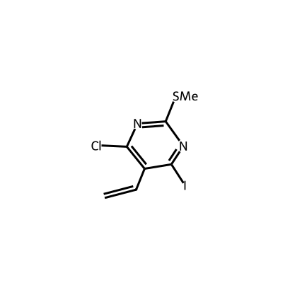 C=Cc1c(Cl)nc(SC)nc1I